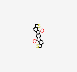 O=c1c2cc3c(cc2c2ccc4ccsc4c12)c(=O)c1c3ccc2ccsc21